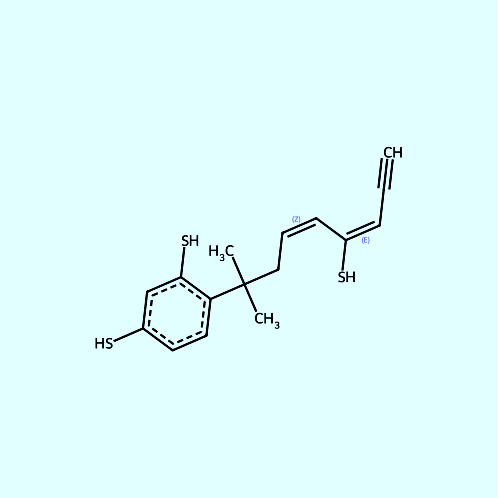 C#C/C=C(S)\C=C/CC(C)(C)c1ccc(S)cc1S